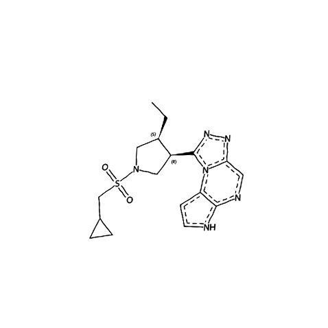 CC[C@@H]1CN(S(=O)(=O)CC2CC2)C[C@@H]1c1nnc2cnc3[nH]ccc3n12